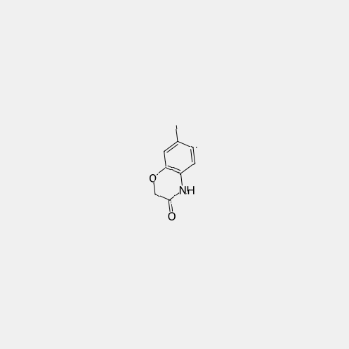 Cc1[c]cc2c(c1)OCC(=O)N2